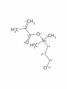 C=C(C)C(=O)O[Si](C)(C)CCCCl